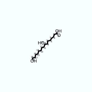 O=C(O)CCCCCCC(O)CCCCCCCCO